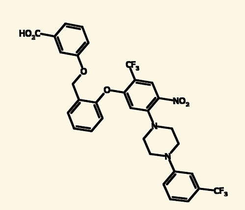 O=C(O)c1cccc(OCc2ccccc2Oc2cc(N3CCN(c4cccc(C(F)(F)F)c4)CC3)c([N+](=O)[O-])cc2C(F)(F)F)c1